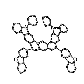 c1ccc(-n2c3ccccc3c3cc4c(-c5ccc6oc7ccccc7c6c5)cc5cc6cc(-c7ccc8oc9ccccc9c8c7)c7cc8c9ccccc9n(-c9ccccc9)c8cc7c6cc5c4cc32)cc1